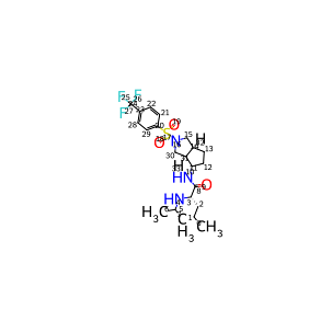 CCC[C@H](NC(C)C)C(=O)N[C@H]1CC[C@@H]2CN(S(=O)(=O)c3ccc(C(F)(F)F)cc3)C[C@@H]21